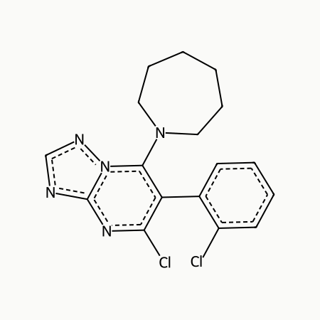 Clc1ccccc1-c1c(Cl)nc2ncnn2c1N1CCCCCC1